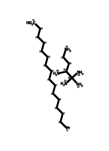 CC(C)CCCCCCCCCCCCCCC(=O)O.NCCC(N)C(N)(N)N